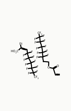 C=CC(=O)OCCC(F)(F)C(F)(F)C(F)(F)C(F)(F)C(F)(F)C(F)(F)F.CCC(=CC(F)(F)C(F)(F)C(F)(F)C(F)(F)C(F)(F)C(F)(F)F)C(=O)O